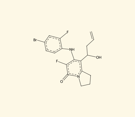 C=CCC(O)c1c(Nc2ccc(Br)cc2F)c(F)c(=O)n2c1CCC2